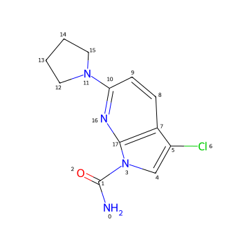 NC(=O)n1cc(Cl)c2ccc(N3CCCC3)nc21